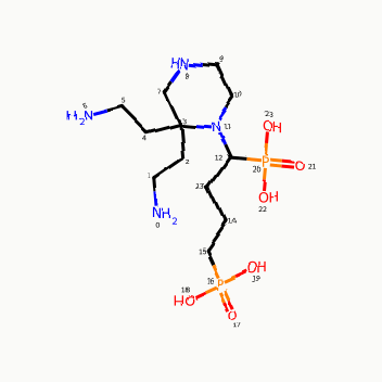 NCCC1(CCN)CNCCN1C(CCCP(=O)(O)O)P(=O)(O)O